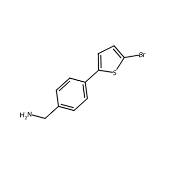 NCc1ccc(-c2ccc(Br)s2)cc1